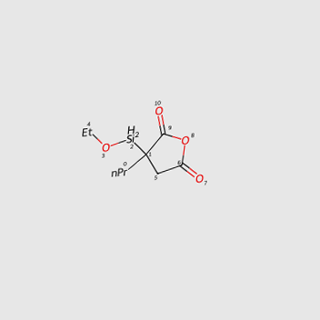 CCCC1([SiH2]OCC)CC(=O)OC1=O